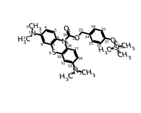 CN(C)c1ccc2c(c1)Sc1cc(N(C)C)ccc1N2C(=O)OCc1ccc(O[Si](C)(C)C)cc1